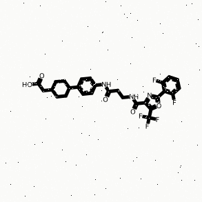 O=C(O)CC1CCC(c2ccc(NC(=O)CCNC(=O)c3nc(-c4c(F)cccc4F)oc3C(F)(F)F)cc2)CC1